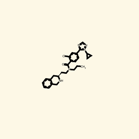 CCCN(CC[C@@H]1Cc2ccccc2CN1)C(=O)c1ccc(-c2ncnn2C2CC2)cc1Cl